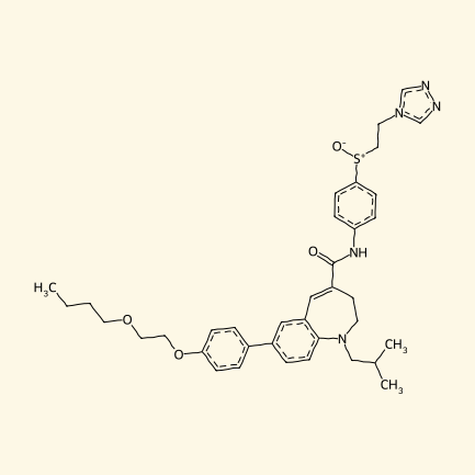 CCCCOCCOc1ccc(-c2ccc3c(c2)C=C(C(=O)Nc2ccc([S+]([O-])CCn4cnnc4)cc2)CCN3CC(C)C)cc1